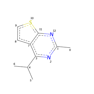 Cc1nc(C(C)C)c2ccsc2n1